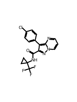 O=C(NC1(C(F)(F)F)CC1)c1nn2cccnc2c1-c1ccc(Cl)cc1